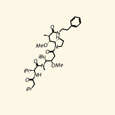 CC[C@H](C)C([C@@H](CC(=O)N1CCC[C@H]1[C@H](OC)[C@@H](C)C(=O)NCCc1ccccc1)OC)N(C)C(=O)[C@@H](NC(=O)CC(C)C)C(C)C